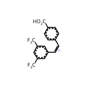 O=C(O)c1ccc(/C=C\c2cc(C(F)(F)F)cc(C(F)(F)F)c2)cc1